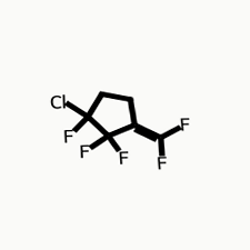 FC(F)=C1CCC(F)(Cl)C1(F)F